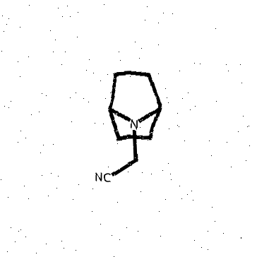 N#CCN1C2CCC1CC2